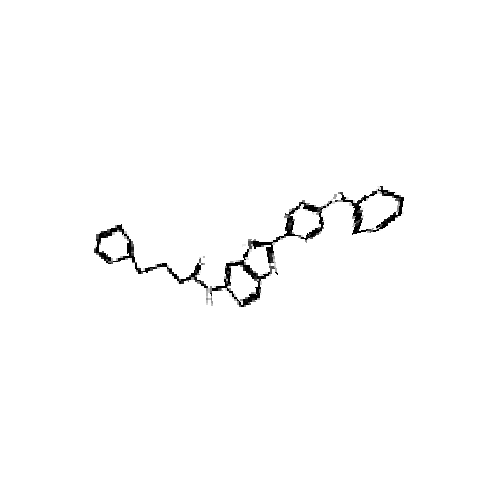 O=C(CCCc1ccccc1)Nc1ccc2nc(-c3ccc(Oc4ccccc4)cc3)[nH]c2c1